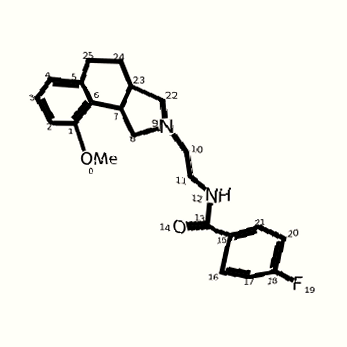 COc1cccc2c1C1CN(CCNC(=O)c3ccc(F)cc3)CC1CC2